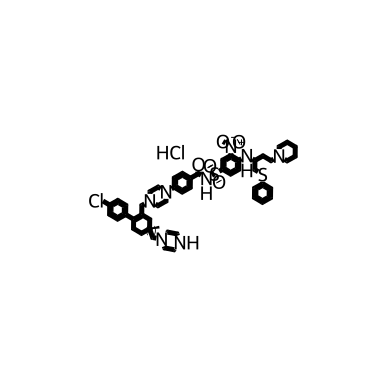 C[C@@]1(CN2CCNCC2)CCC(c2ccc(Cl)cc2)=C(CN2CCN(c3ccc(C(=O)NS(=O)(=O)c4ccc(NC(CCN5CCCCC5)CSc5ccccc5)c([N+](=O)[O-])c4)cc3)CC2)C1.Cl